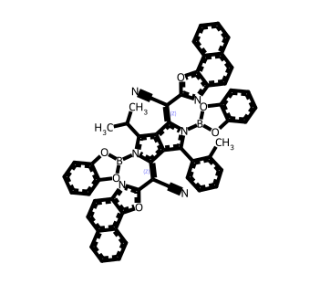 Cc1ccccc1-c1c2/c(=C(\C#N)c3nc4ccc5ccccc5c4o3)n(B3Oc4ccccc4O3)c(C(C)C)c2/c(=C(\C#N)c2nc3ccc4ccccc4c3o2)n1B1Oc2ccccc2O1